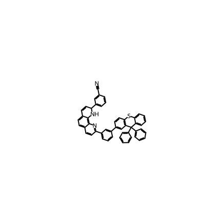 N#Cc1cccc(C2C=Cc3ccc4ccc(-c5cccc(-c6ccc7c(c6)C(c6ccccc6)(c6ccccc6)c6ccccc6S7)c5)nc4c3N2)c1